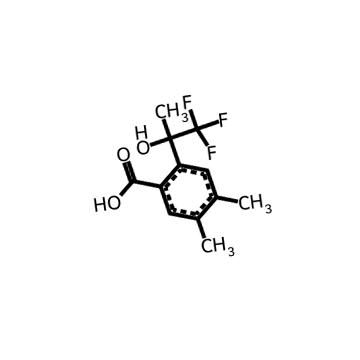 Cc1cc(C(=O)O)c(C(C)(O)C(F)(F)F)cc1C